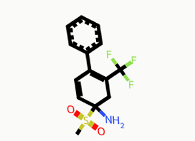 CS(=O)(=O)C1(N)C=CC(c2ccccc2)=C(C(F)(F)F)C1